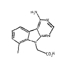 Nc1ncnc2c1c1cccc(F)c1n2CC(=O)O